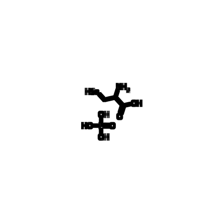 NC(C[SeH])C(=O)O.O=P(O)(O)O